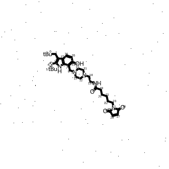 CC(C)(C)Cc1c(SC(C)(C)C)[nH]c2c(CN3CCN(CCNC(=O)CCCCCN4C(=O)C=CC4=O)CC3)c(O)ccc12